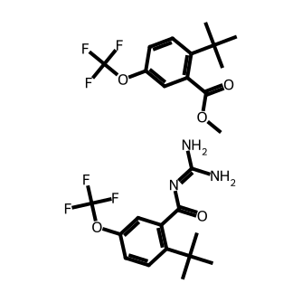 CC(C)(C)c1ccc(OC(F)(F)F)cc1C(=O)N=C(N)N.COC(=O)c1cc(OC(F)(F)F)ccc1C(C)(C)C